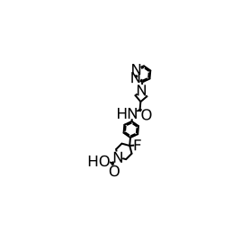 O=C(Nc1ccc(C2(F)CCN(C(=O)O)CC2)cc1)C1CN(c2cccnn2)C1